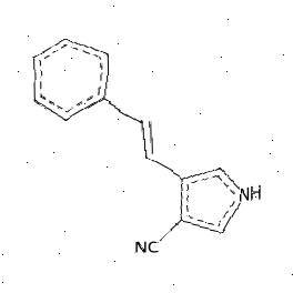 N#Cc1c[nH]cc1/C=C/c1ccccc1